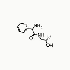 NC(C(=O)NCC(=O)O)c1ccccc1